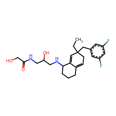 CCC1(Cc2cc(F)cc(F)c2)C=C2C(=CC1)CCCC2NCC(O)CNC(=O)CO